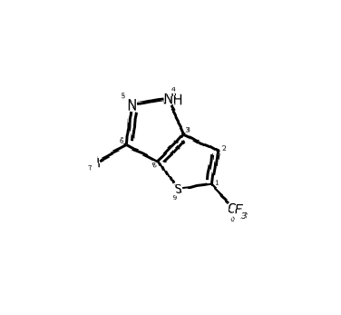 FC(F)(F)c1cc2[nH]nc(I)c2s1